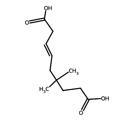 CC(C)(CC=CCC(=O)O)CCC(=O)O